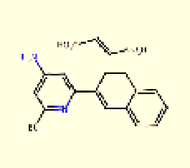 CCc1cc(N)cc(C2=Cc3ccccc3CC2)n1.O=C(O)C=CC(=O)O